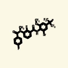 CN(C(=O)c1ccc(F)cc1)c1cccc(C(=O)Nc2c(Br)cc(C(F)(C(F)(F)F)C(F)(F)F)cc2OC(F)(F)F)c1F